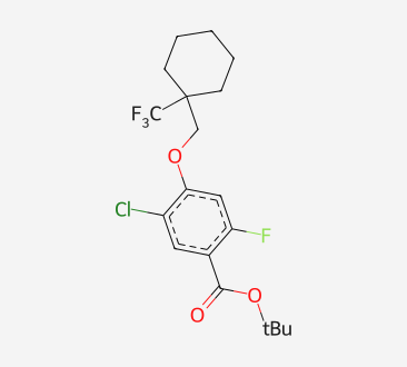 CC(C)(C)OC(=O)c1cc(Cl)c(OCC2(C(F)(F)F)CCCCC2)cc1F